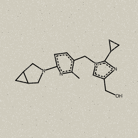 Cc1nc(N2CC3CC3C2)ccc1Cn1cc(CO)nc1C1CC1